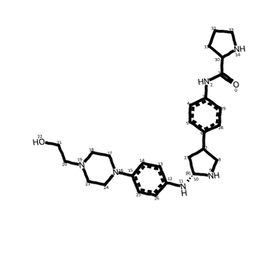 O=C(Nc1ccc(C2CN[C@H](Nc3ccc(N4CCN(CCO)CC4)cc3)C2)cc1)C1CCCN1